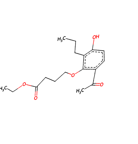 CCCc1c(O)ccc(C(C)=O)c1OCCCC(=O)OCC